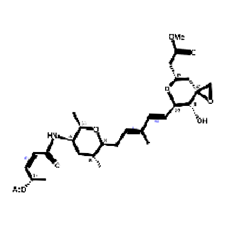 COC(=O)C[C@@H]1C[C@@]2(CO2)[C@H](O)[C@@H](/C=C/C(C)=C/C[C@@H]2O[C@H](C)[C@H](NC(=O)/C=C\[C@H](C)OC(C)=O)C[C@H]2C)O1